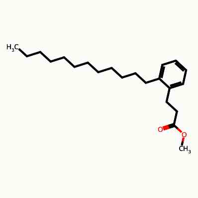 CCCCCCCCCCCCc1ccccc1CCC(=O)OC